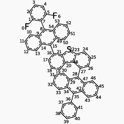 Fc1cccc(F)c1-c1c2ccccc2c(-c2cccc3c2sc2cccc(-c4c5ccccc5c(-c5ccccc5)c5ccccc45)c23)c2ccccc12